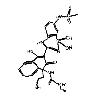 CC(C)CCC1(NC(=O)NC(C)(C)C)C(=O)C(C2=NS(O)(O)c3cc(NS(C)(=O)=O)ccc3N2)=C(O)c2ccccc21